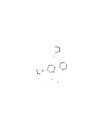 CCC(=O)N(Cc1cc(-c2ncco2)ccc1-c1ccccc1S(=O)(=O)Nc1onc(C)c1C)C(C)C